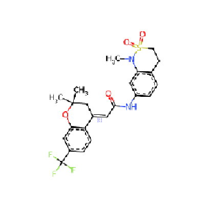 CN1c2cc(NC(=O)/C=C3\CC(C)(C)Oc4cc(C(F)(F)F)ccc43)ccc2CCS1(=O)=O